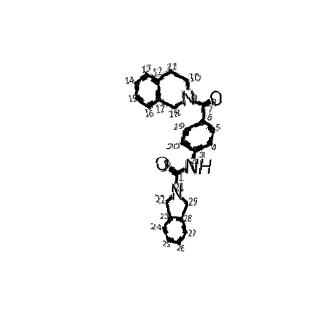 O=C(Nc1ccc(C(=O)N2CCc3ccccc3C2)cc1)N1Cc2ccccc2C1